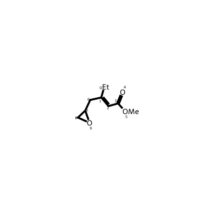 CCC(=CC(=O)OC)CC1CO1